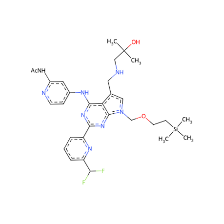 CC(=O)Nc1cc(Nc2nc(-c3cccc(C(F)F)n3)nc3c2c(CNCC(C)(C)O)cn3COCC[Si](C)(C)C)ccn1